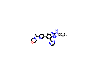 CCOC(=O)Nc1nc2cc(-c3ccc(C(C)N4CCOCC4)nc3)cc(-c3ncccn3)c2[nH]1